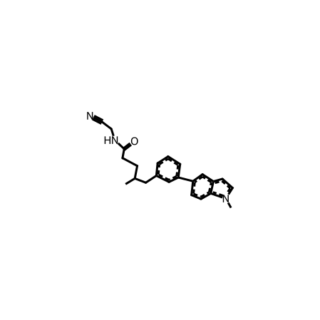 CC(CCC(=O)NCC#N)Cc1cccc(-c2ccc3c(ccn3C)c2)c1